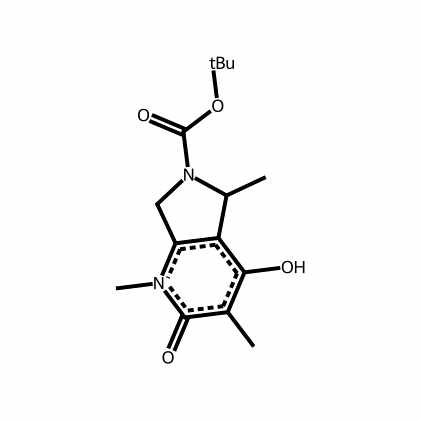 Cc1c(O)c2c(n(C)c1=O)CN(C(=O)OC(C)(C)C)C2C